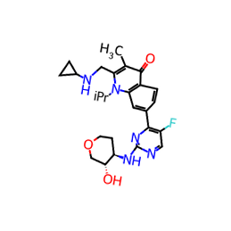 Cc1c(CNC2CC2)n(C(C)C)c2cc(-c3nc(N[C@@H]4CCOC[C@H]4O)ncc3F)ccc2c1=O